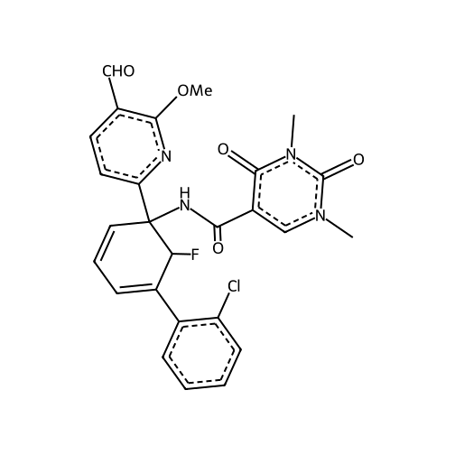 COc1nc(C2(NC(=O)c3cn(C)c(=O)n(C)c3=O)C=CC=C(c3ccccc3Cl)C2F)ccc1C=O